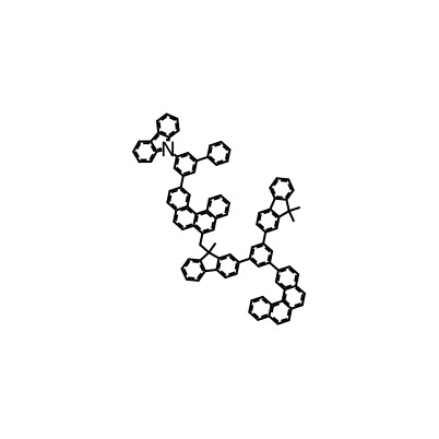 CC1(C)c2ccccc2-c2ccc(-c3cc(-c4ccc5c(c4)C(C)(Cc4cc6ccccc6c6c4ccc4ccc(-c7cc(-c8ccccc8)cc(-n8c9ccccc9c9ccccc98)c7)cc46)c4ccccc4-5)cc(-c4ccc5ccc6ccc7ccccc7c6c5c4)c3)cc21